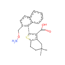 CC1(C)CCc2sc(-c3c(CON)ccc4ccccc34)c(C(=O)O)c2C1